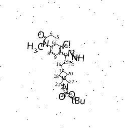 CN1C(=O)CCc2c1ccc(-c1n[nH]cc1CC1CC3(C1)CN(C(=O)OC(C)(C)C)C3)c2Cl